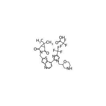 CC1(C)C2C(=O)N(Cc3cc4nccc(-c5nc(C(F)(F)F)cn5CC5CNCCO5)c4s3)C(=O)C21.O=C(O)C(F)(F)F